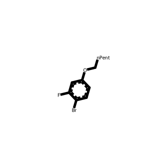 CCCCCCOc1ccc(Br)c(F)c1